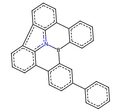 c1ccc(-c2ccc3c(c2)B2c4ccccc4-c4cccc5c6cccc-3c6n2c45)cc1